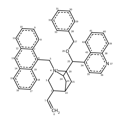 C=CC1C[N+]2(Cc3c4ccccc4cc4ccccc34)CCC1CC2C(OCc1ccccc1)c1ccnc2ccccc12